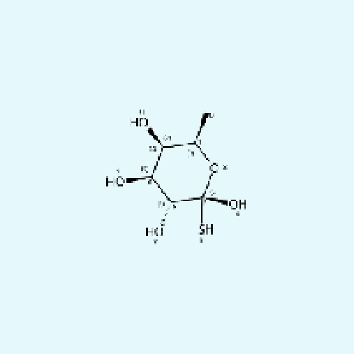 C[C@H]1O[C@](O)(S)[C@H](O)[C@@H](O)[C@H]1O